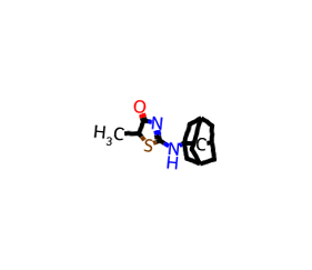 CC1SC(NC23CC4CC(CC(C4)C2)C3)=NC1=O